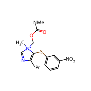 CNC(=O)OC[N+]1(C)C=NC(C(C)C)=C1Sc1cccc([N+](=O)[O-])c1